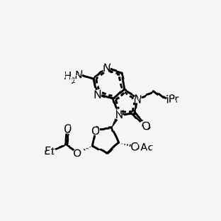 CCC(=O)O[C@H]1C[C@@H](OC(C)=O)[C@H](n2c(=O)n(CC(C)C)c3cnc(N)nc32)O1